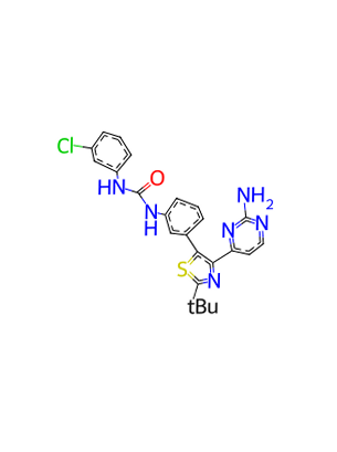 CC(C)(C)c1nc(-c2ccnc(N)n2)c(-c2cccc(NC(=O)Nc3cccc(Cl)c3)c2)s1